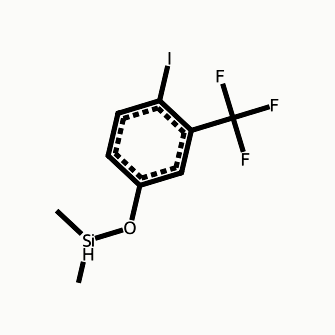 C[SiH](C)Oc1ccc(I)c(C(F)(F)F)c1